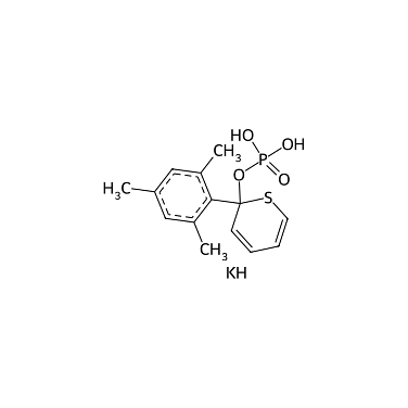 Cc1cc(C)c(C2(OP(=O)(O)O)C=CC=CS2)c(C)c1.[KH]